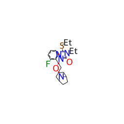 CCSc1nn(CCCN2C3CCC2CC(OCc2ccccc2F)C3)c(=O)n1CC